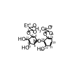 CCS(=O)(=O)Oc1cccc(O)c1O.CS(=O)(=O)Oc1cccc(O)c1O